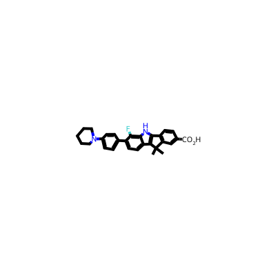 CC1(C)c2cc(C(=O)O)ccc2-c2[nH]c3c(F)c(-c4ccc(N5CCCCC5)cc4)ccc3c21